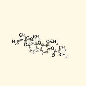 C=C(C)C(=O)Oc1ccc2c(oc3c(OC)c(OC(=O)C(=C)C)ccc32)c1OC